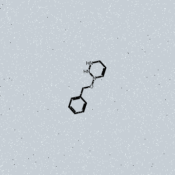 C1=CN(OCc2ccccc2)NNC1